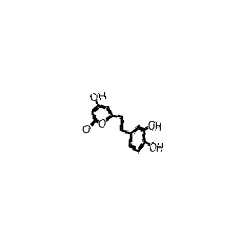 O=c1cc(O)cc(C=Cc2ccc(O)c(O)c2)o1